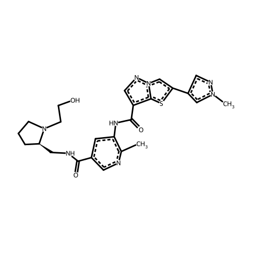 Cc1ncc(C(=O)NC[C@H]2CCCN2CCO)cc1NC(=O)c1cnn2cc(-c3cnn(C)c3)sc12